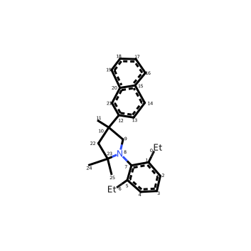 CCc1cccc(CC)c1N1CC(C)(c2ccc3ccccc3c2)CC1(C)C